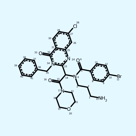 NCCCN(C(=O)c1ccc(Br)cc1)C(C(=O)N1CCOCC1)c1nc2cc(Cl)ccc2c(=O)n1Cc1ccccc1